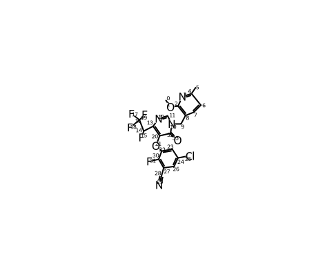 COc1nc(C)ccc1Cn1cnc(C(F)C(F)(F)F)c(Oc2cc(Cl)cc(C#N)c2F)c1=O